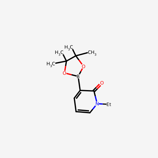 CCn1cccc(B2OC(C)(C)C(C)(C)O2)c1=O